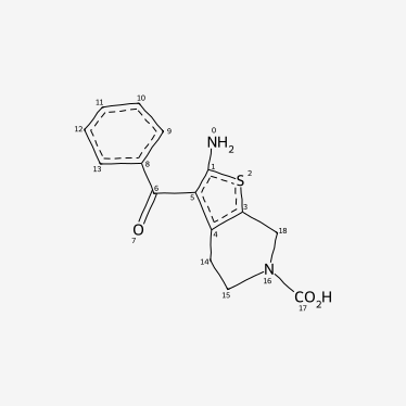 Nc1sc2c(c1C(=O)c1ccccc1)CCN(C(=O)O)C2